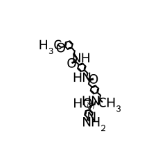 COc1cccc(CCNC(=O)c2ccc(CNC(=O)Cc3ccc(CC(C)NC[C@@H](O)c4ccc(N)nc4)cc3)cc2)c1